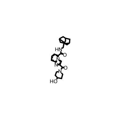 O=C(NCC12CC3CC(CC(C3)C1)C2)c1cccc2nc(C(=O)N3CCC(O)CC3)cn12